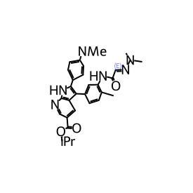 CNc1ccc(-c2[nH]c3ncc(C(=O)OC(C)C)cc3c2-c2ccc(C)c(NC(=O)/C=N/N(C)C)c2)cc1